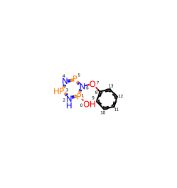 Op1[nH][pH]npn1Oc1ccccc1